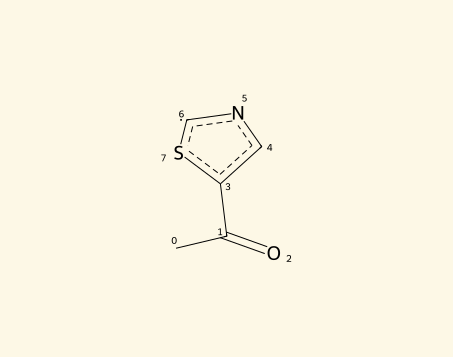 CC(=O)c1cn[c]s1